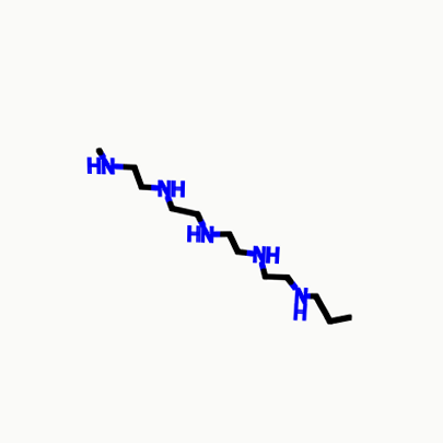 CCCNCCNCCNCCNCCNC